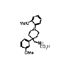 COc1cccc(C2(CNC(=O)O)CCN(c3ccccc3OC)CC2)c1